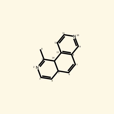 CC1=NC=CC2C=Cc3cnccc3C12